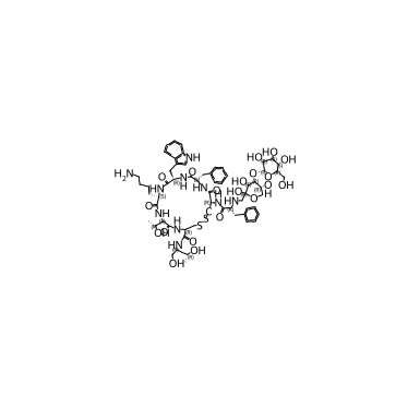 C[C@@H](O)[C@@H]1NC(=O)[C@H](CCCCN)NC(=O)[C@@H](Cc2c[nH]c3ccccc23)NC(=O)[C@H](Cc2ccccc2)NC(=O)[C@@H](NC(=O)[C@@H](Cc2ccccc2)NC[C@@]2(O)OC[C@@H](O)[C@@H](O[C@H]3O[C@H](CO)[C@@H](O)[C@H](O)[C@H]3O)[C@@H]2O)CSSC[C@@H](C(=O)N[C@H](CO)[C@@H](C)O)NC1=O